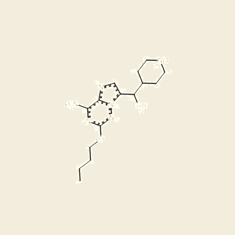 CCCCOc1nc(N)c2ncc(C(O)C3CCNCC3)n2n1